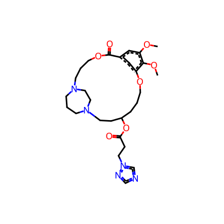 COc1cc2cc(c1OC)OCCCC(OC(=O)CCn1cncn1)CCN1CCCN(CCCOC2=O)CC1